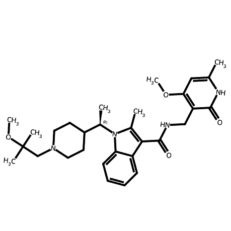 COc1cc(C)[nH]c(=O)c1CNC(=O)c1c(C)n([C@H](C)C2CCN(CC(C)(C)OC)CC2)c2ccccc12